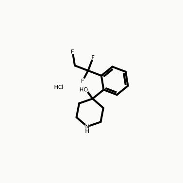 Cl.OC1(c2ccccc2C(F)(F)CF)CCNCC1